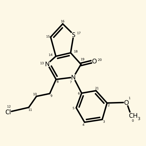 COc1cccc(-n2c(CCCCl)nc3ccsc3c2=O)c1